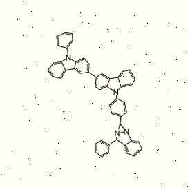 c1ccc(C2c3ccccc3N3C(c4ccc(-n5c6ccccc6c6cc(-c7ccc8c(c7)c7ccccc7n8-c7ccccc7)ccc65)cc4)[N@]23)cc1